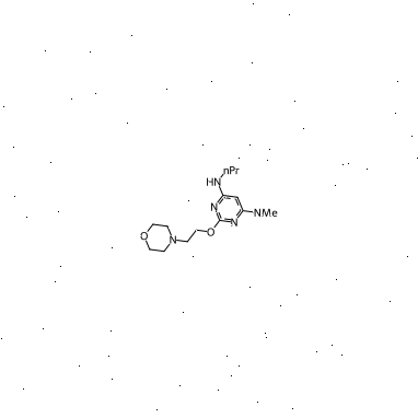 CCCNc1cc(NC)nc(OCCN2CCOCC2)n1